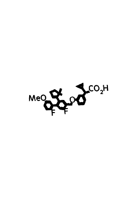 COc1ccc(F)c(-c2cc(F)c(COc3cccc(C(CC(=O)O)C4CC4)c3)cc2C2=CCCC2(C)C)c1